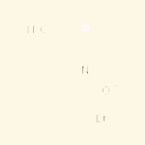 C/C=C\[N]OCC